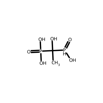 CC(O)([PH](=O)O)P(=O)(O)O